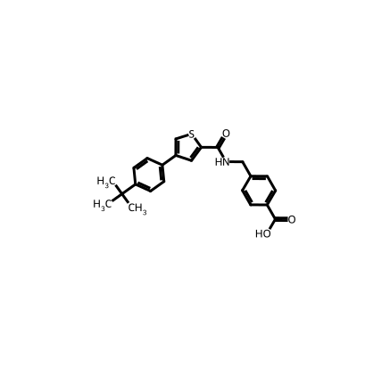 CC(C)(C)c1ccc(-c2csc(C(=O)NCc3ccc(C(=O)O)cc3)c2)cc1